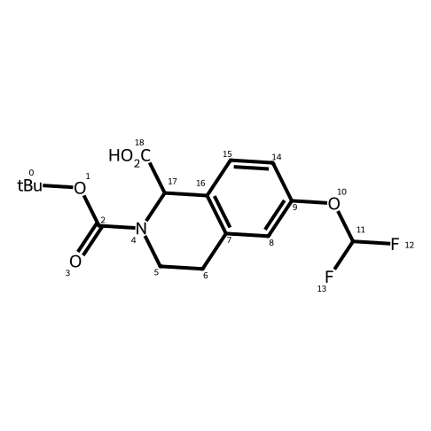 CC(C)(C)OC(=O)N1CCc2cc(OC(F)F)ccc2C1C(=O)O